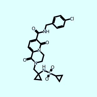 O=C(NCc1ccc(Cl)cc1)c1ccc2n(c1=O)CCN(CC1(NS(=O)(=O)C3CC3)CC1)C2=O